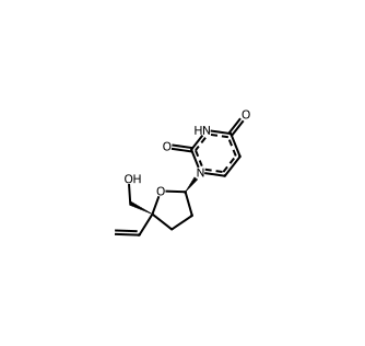 C=C[C@@]1(CO)CC[C@H](n2ccc(=O)[nH]c2=O)O1